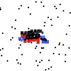 CN(C)c1cc(NCc2cc[nH]n2)c(O)c2c1C[C@H]1C[C@H]3[C@H](N(C)C)C(O)=C(C(N)=O)C(=O)[C@@]3(O)C=C1C2=O